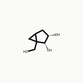 OCC12CC1C[C@H](O)[C@@H]2O